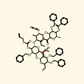 C=CCOC(=O)OC1[C@H](O[C@@H]2C(CC)O[C@@H](O[C@@H]3C(C(=O)OC)O[C@H](C)C(OC(=O)c4ccccc4)[C@@H]3OCc3ccccc3)[C@@H](N=[N+]=[N-])C2C)OC(C(=O)OC)[C@@H](O[C@H]2OC(CC)[C@H](OCc3ccccc3)[C@@H](OCc3ccccc3)C2N=[N+]=[N-])[C@H]1OCc1ccccc1